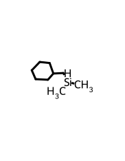 C[SiH](C)CC1CCCCC1